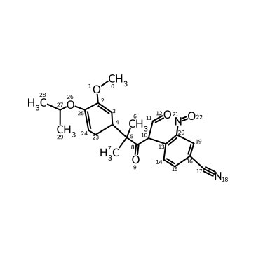 COC1=CC(C(C)(C)C(=O)C(C=O)c2ccc(C#N)cc2N=O)CC=C1OC(C)C